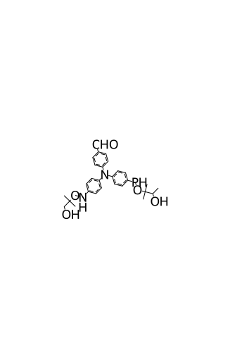 CC(O)C(C)(C)OPc1ccc(N(c2ccc(C=O)cc2)c2ccc(NOC(C)(C)CO)cc2)cc1